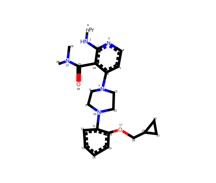 CCCNc1nccc(N2CCN(c3ccccc3OCC3CC3)CC2)c1C(=O)N(C)C